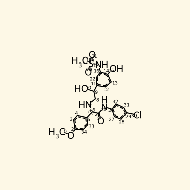 COc1ccc([C@H](NCC(O)c2ccc(O)c(NS(C)(=O)=O)c2)C(=O)Nc2ccc(Cl)cc2)cc1